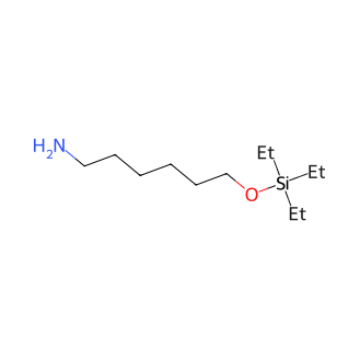 CC[Si](CC)(CC)OCCCCCCN